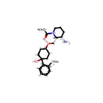 COC(=O)N1CCC[C@H](N)[C@@H]1COC1CCC(O)(c2ccccc2OC)CC1